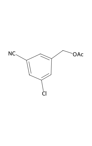 CC(=O)OCc1cc(Cl)cc(C#N)c1